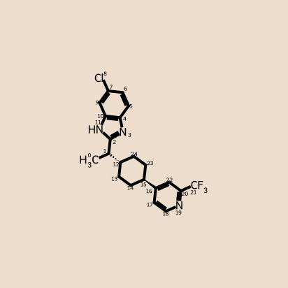 CC(c1nc2ccc(Cl)cc2[nH]1)[C@H]1CC[C@H](c2ccnc(C(F)(F)F)c2)CC1